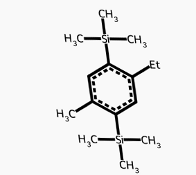 CCc1cc([Si](C)(C)C)c(C)cc1[Si](C)(C)C